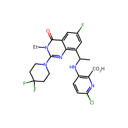 CCn1c(N2CCC(F)(F)CC2)nc2c(C(C)Nc3ccc(Cl)nc3C(=O)O)cc(F)cc2c1=O